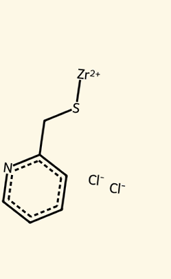 [Cl-].[Cl-].[Zr+2][S]Cc1ccccn1